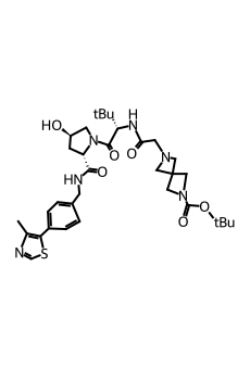 Cc1ncsc1-c1ccc(CNC(=O)[C@@H]2C[C@@H](O)CN2C(=O)[C@@H](NC(=O)CN2CC3(C2)CN(C(=O)OC(C)(C)C)C3)C(C)(C)C)cc1